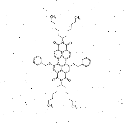 CCCCCCC(CCCCCC)N1C(=O)c2ccc3c4c(SCc5ccccc5)cc5c6c(cc(SCc7ccccc7)c(c7ccc(c2c37)C1=O)c64)C(=O)N(C(CCCCCC)CCCCCC)C5=O